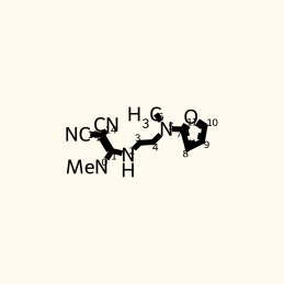 CNC(NCCN(C)c1ccco1)=C(C#N)C#N